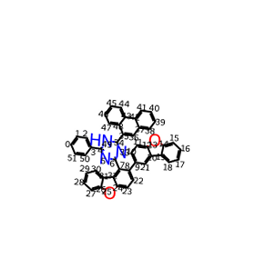 c1ccc(C2=NC(c3c(-c4ccc5oc6ccccc6c5c4)ccc4oc5ccccc5c34)=NC(c3cc4ccccc4c4ccccc34)N2)cc1